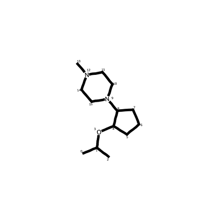 CC(C)OC1CCCC1N1CCN(C)CC1